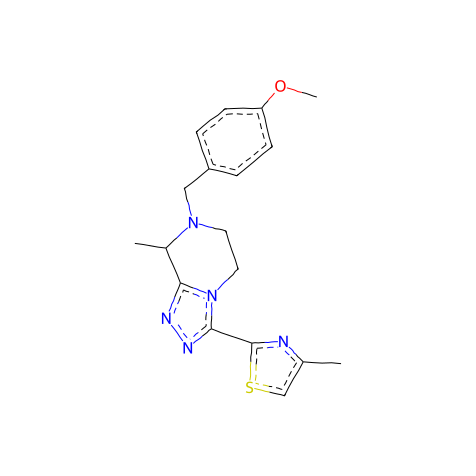 COc1ccc(CN2CCn3c(-c4nc(C)cs4)nnc3C2C)cc1